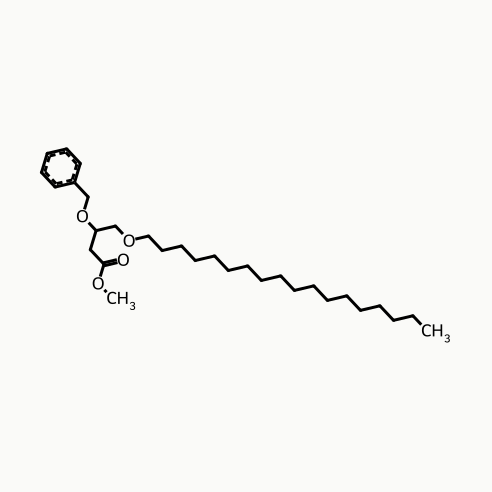 CCCCCCCCCCCCCCCCCCOCC(CC(=O)OC)OCc1ccccc1